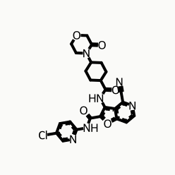 N#Cc1nccc2oc(C(=O)Nc3ccc(Cl)cn3)c(NC(=O)C3CCC(N4CCOCC4=O)CC3)c12